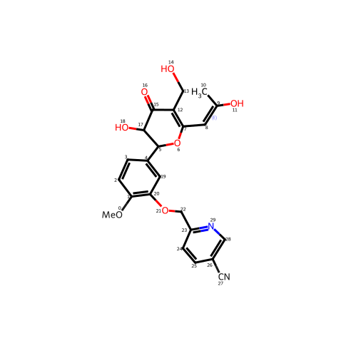 COc1ccc(C2OC(/C=C(\C)O)=C(CO)C(=O)C2O)cc1OCc1ccc(C#N)cn1